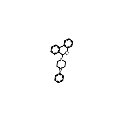 c1ccc(N2CCN(C3Oc4ccccc4-c4ccccc43)CC2)cc1